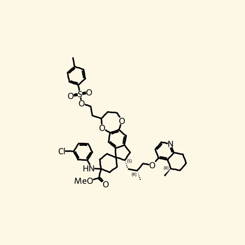 COC(=O)C1(Nc2cccc(Cl)c2)CCC2(CC1)c1cc3c(cc1C[C@@H]2C[C@@H](C)COc1ccnc2c1[C@H](C)CCC2)OCCC(CCOS(=O)(=O)c1ccc(C)cc1)O3